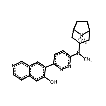 CN(c1ccc(-c2cc3cnccc3cc2O)nn1)C1CC2CCC(C1)N2C